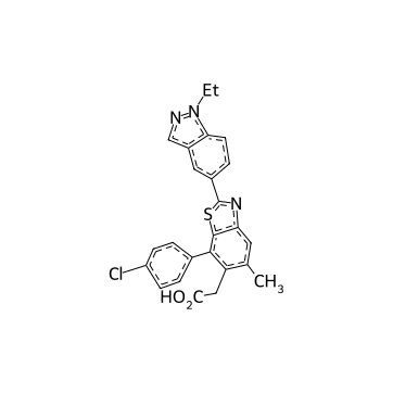 CCn1ncc2cc(-c3nc4cc(C)c(CC(=O)O)c(-c5ccc(Cl)cc5)c4s3)ccc21